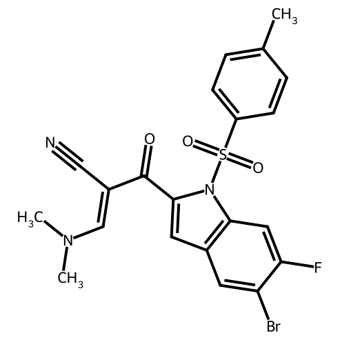 Cc1ccc(S(=O)(=O)n2c(C(=O)/C(C#N)=C/N(C)C)cc3cc(Br)c(F)cc32)cc1